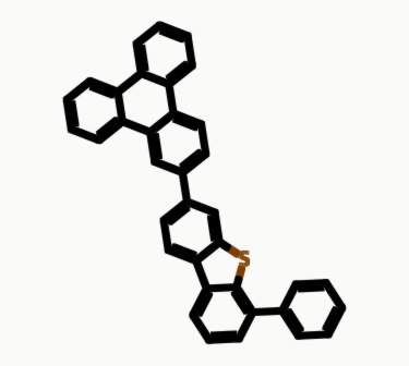 c1ccc(-c2cccc3c2sc2cc(-c4ccc5c6ccccc6c6ccccc6c5c4)ccc23)cc1